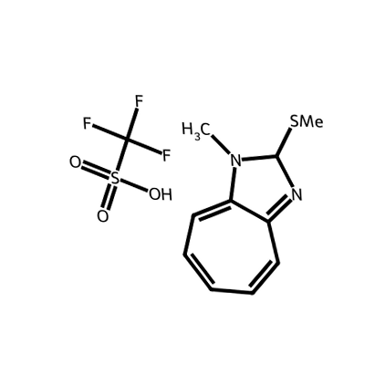 CSC1N=C2C=CC=CC=C2N1C.O=S(=O)(O)C(F)(F)F